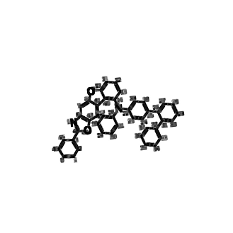 c1ccc(-c2nc3cc4oc5cccc(N(c6ccccc6)c6ccc(-c7ccccc7-c7ccccc7)cc6)c5c4cc3o2)cc1